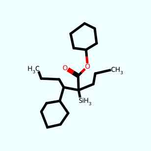 CCCC(C1CCCCC1)C([SiH3])(CCC)C(=O)OC1CCCCC1